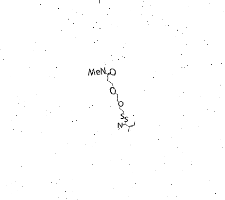 C/C=C(C)\C(=N/C)SSCCOCCOCCC(=O)NC